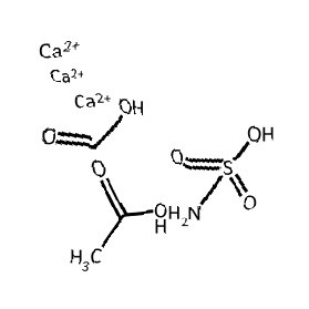 CC(=O)O.NS(=O)(=O)O.O=CO.[Ca+2].[Ca+2].[Ca+2]